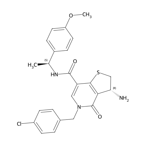 COc1ccc([C@H](C)NC(=O)c2cn(Cc3ccc(Cl)cc3)c(=O)c3c2SC[C@@H]3N)cc1